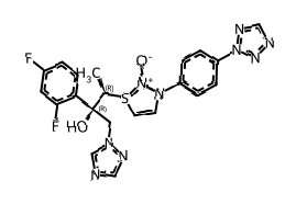 C[C@@H](S1=[N+]([O-])N(c2ccc(-n3ncnn3)cc2)C=C1)[C@](O)(Cn1cncn1)c1ccc(F)cc1F